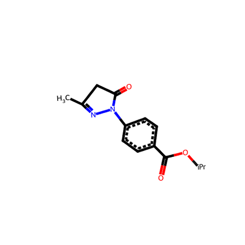 CC1=NN(c2ccc(C(=O)OC(C)C)cc2)C(=O)C1